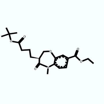 CCOC(=O)c1ccc2c(c1)OC[C@H](CCCC(=O)OC(C)(C)C)C(=O)N2C